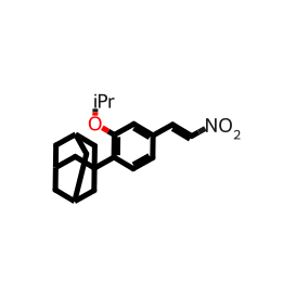 CC(C)Oc1cc(C=C[N+](=O)[O-])ccc1C12CC3CC(CC(C3)C1)C2